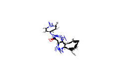 O=c1c2nnc3ccccc3c2[nH]n1C1=CCN=CC1